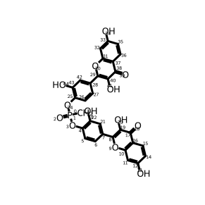 CP(=O)(Oc1ccc(-c2oc3cc(O)ccc3c(=O)c2O)cc1O)Oc1ccc(-c2oc3cc(O)ccc3c(=O)c2O)cc1O